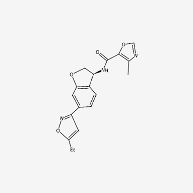 CCc1cc(-c2ccc3c(c2)OC[C@H]3NC(=O)c2ocnc2C)no1